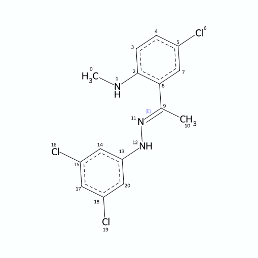 CNc1ccc(Cl)cc1/C(C)=N/Nc1cc(Cl)cc(Cl)c1